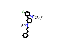 CC(=O)N(CCCc1ccccc1)C1CCc2c(c3cc(F)ccc3n2CC(=O)O)C1